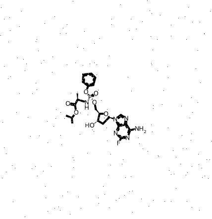 CC(C)OC(=O)[C@@H](C)NP(=O)(OC[C@H]1O[C@@H](n2cnc3c(N)nc(F)nc32)C[C@@H]1O)Oc1ccccc1